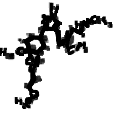 CNCCN(C)Cc1c[nH]nc1C1CCC(C)(C)[C@H](COCCOC)C1